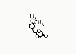 CC1(C)CCC(CC2OCC(=O)CO2)C1